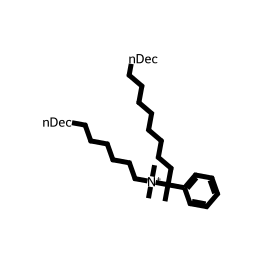 CCCCCCCCCCCCCCCCCCC(C)(c1ccccc1)[N+](C)(C)CCCCCCCCCCCCCCCC